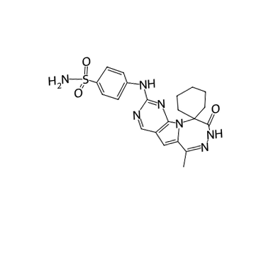 CC1=NNC(=O)C2(CCCCC2)n2c1cc1cnc(Nc3ccc(S(N)(=O)=O)cc3)nc12